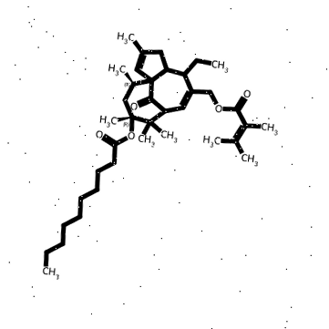 CCCCCCCCCC(=O)O[C@]1(C)C[C@@H](C)C23C=C(C)CC2C(CC)C(COC(=O)C(C)=C(C)C)=CC(C3=O)C1(C)C